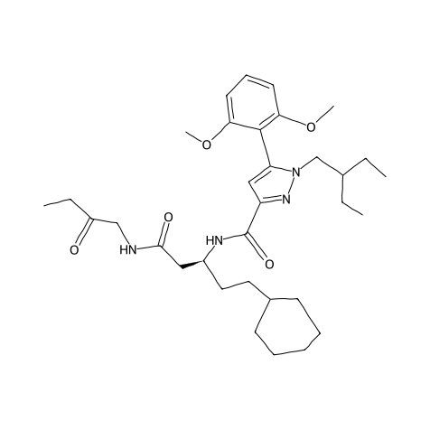 CCC(=O)CNC(=O)C[C@H](CCC1CCCCC1)NC(=O)c1cc(-c2c(OC)cccc2OC)n(CC(CC)CC)n1